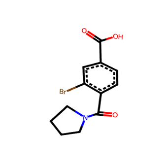 O=C(O)c1ccc(C(=O)N2CCCC2)c(Br)c1